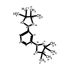 CC1(C)OB(c2cncc(B3OC(C)(C)C(C)(C)O3)c2)OC1(C)C